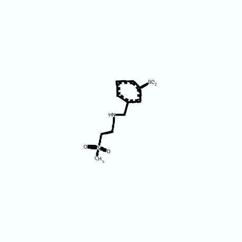 CS(=O)(=O)CCNCc1cccc([N+](=O)[O-])c1